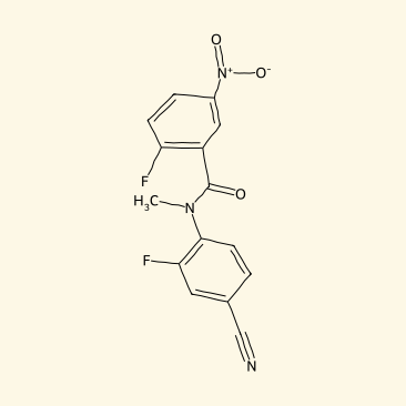 CN(C(=O)c1cc([N+](=O)[O-])ccc1F)c1ccc(C#N)cc1F